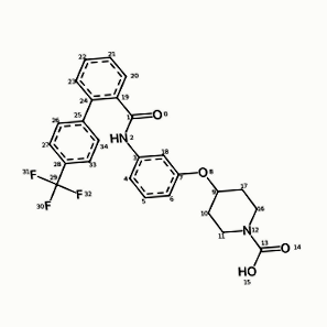 O=C(Nc1cccc(OC2CCN(C(=O)O)CC2)c1)c1ccccc1-c1ccc(C(F)(F)F)cc1